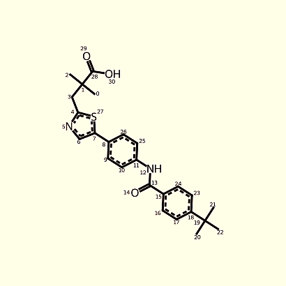 CC(C)(Cc1ncc(-c2ccc(NC(=O)c3ccc(C(C)(C)C)cc3)cc2)s1)C(=O)O